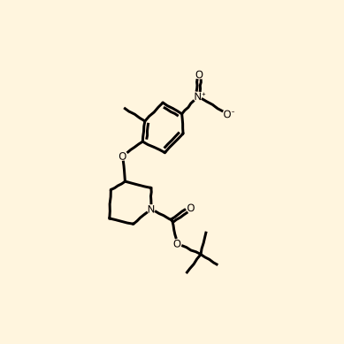 Cc1cc([N+](=O)[O-])ccc1OC1CCCN(C(=O)OC(C)(C)C)C1